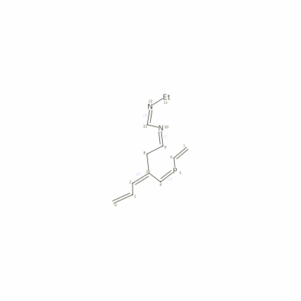 C=C/C=C(\C=P/C=C)C/C=N\C=N/CC